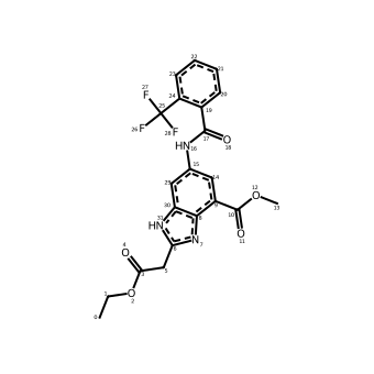 CCOC(=O)Cc1nc2c(C(=O)OC)cc(NC(=O)c3ccccc3C(F)(F)F)cc2[nH]1